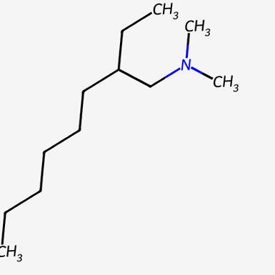 CCCCCCC(CC)CN(C)C